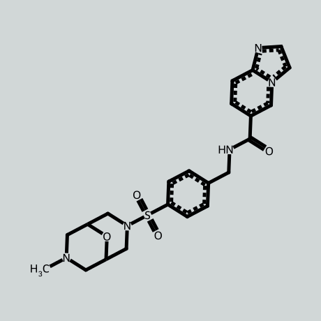 CN1CC2CN(S(=O)(=O)c3ccc(CNC(=O)c4ccc5nccn5c4)cc3)CC(C1)O2